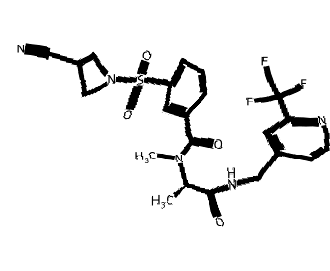 C[C@H](C(=O)NCc1ccnc(C(F)(F)F)c1)N(C)C(=O)c1cccc(S(=O)(=O)N2CC(C#N)C2)c1